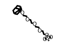 CS(=O)(=O)OCCOCCOCCOCCOC12CC3CC(CC(C3)C1)C2